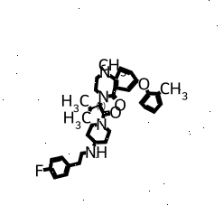 Cc1ccccc1Oc1ccc2c(c1)C(=O)N([C@@H](C(=O)N1CCC(NCCc3ccc(F)cc3)CC1)C(C)C)CCN2C